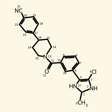 CC1NC(Cl)=C(c2cccc(C(=O)N3CCC(c4ccc(C#N)cc4)CC3)c2)N1